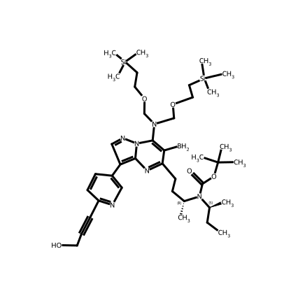 Bc1c(CC[C@@H](C)N(C(=O)OC(C)(C)C)[C@@H](C)CC)nc2c(-c3ccc(C#CCO)nc3)cnn2c1N(COCC[Si](C)(C)C)COCC[Si](C)(C)C